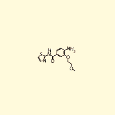 COCCOc1cc(C(=O)Nc2nccs2)ccc1N